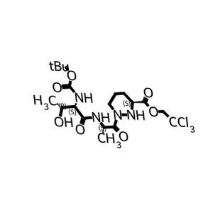 C[C@H](NC(=O)[C@@H](NC(=O)OC(C)(C)C)[C@@H](C)O)C(=O)N1CCC[C@@H](C(=O)OCC(Cl)(Cl)Cl)N1